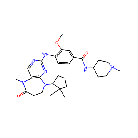 COc1cc(C(=O)NC2CCN(C)CC2)ccc1Nc1ncc2c(n1)N(C1CCCC1(C)C)CCC(=O)N2C